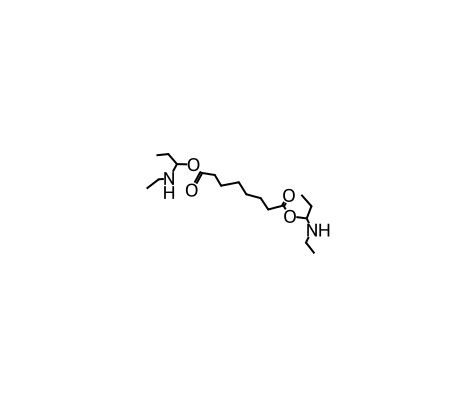 CCNC(CC)OC(=O)CCCCCCC(=O)OC(CC)NCC